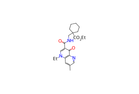 CCOC(=O)C1(CNC(=O)c2cn(CC)c3cc(C)cnc3c2=O)CCCCC1